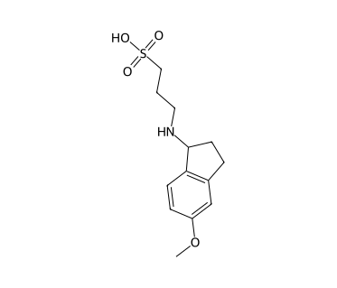 COc1ccc2c(c1)CCC2NCCCS(=O)(=O)O